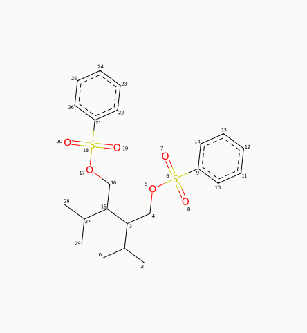 CC(C)C(COS(=O)(=O)c1ccccc1)C(COS(=O)(=O)c1ccccc1)C(C)C